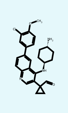 COc1ccc(-c2ccc3ncc(C4(C=O)CC4)c(N[C@H]4CC[C@H](N)CC4)c3c2)cc1Cl